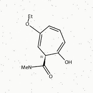 CCOC1=C[C@H](C(=O)NC)C(O)=CC=C1